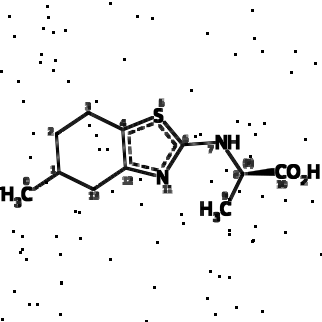 CC1CCc2sc(N[C@H](C)C(=O)O)nc2C1